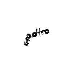 O=C(Cc1ccccc1)NC(=S)Nc1ccc(Oc2ccnc3cc(-n4cccn4)sc23)cc1